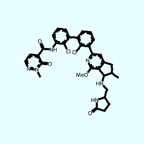 COc1nc(-c2cccc(-c3cccc(NC(=O)c4ccnn(C)c4=O)c3Cl)c2Cl)cc2c1C(NCC1CCC(=O)N1)C(C)C2